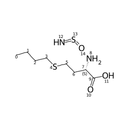 CCCCSCC[C@H](N)C(=O)O.N=S=O